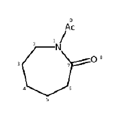 CC(=O)N1CCCCCC1=O